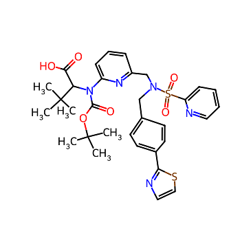 CC(C)(C)OC(=O)N(c1cccc(CN(Cc2ccc(-c3nccs3)cc2)S(=O)(=O)c2ccccn2)n1)C(C(=O)O)C(C)(C)C